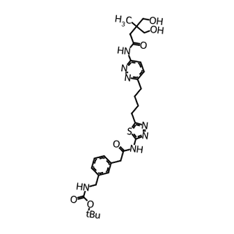 CC(CO)(CO)CC(=O)Nc1ccc(CCCCc2nnc(NC(=O)Cc3cccc(CNC(=O)OC(C)(C)C)c3)s2)nn1